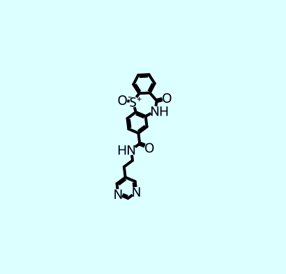 O=C(NCCc1cncnc1)c1ccc2c(c1)NC(=O)c1ccccc1[S+]2[O-]